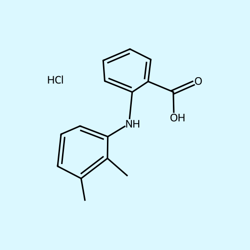 Cc1cccc(Nc2ccccc2C(=O)O)c1C.Cl